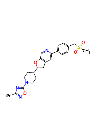 CC(C)c1noc(N2CCC(C3Cc4cc(-c5ccc(CS(C)(=O)=O)cc5)ncc4O3)CC2)n1